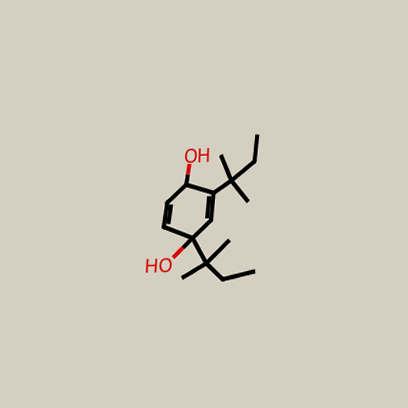 CCC(C)(C)C1=CC(O)(C(C)(C)CC)C=CC1O